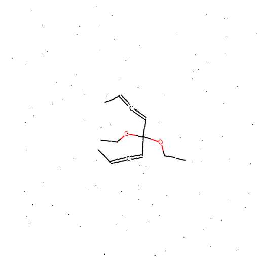 CC=C=CC(C=C=CC)(OCC)OCC